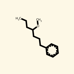 CCC[C](CCCc1ccccc1)OC